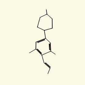 CCC1CCC(c2cc(Cl)c(/C=C/C(F)(F)F)c(Cl)c2)CC1